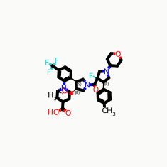 COC[C@H]1CN(C(=O)[C@]2(F)CN(C3CCOCC3)C[C@H]2c2ccc(C)cc2)C[C@@H]1c1ccc(C(F)(F)F)cc1N1CCC(C(=O)O)CC1